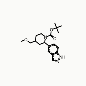 COCC1CCN(C(=O)OC(C)(C)C)C(c2ccc3[nH]ncc3c2)C1